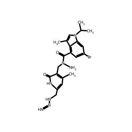 Cc1cc(CNN=N)[nH]c(=O)c1CN(N)C(=O)c1cc(Br)cc2c1c(C)cn2C(C)C